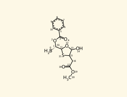 B[C@H](OC(=O)c1ccccc1)C1OC(O)C(CC(=O)OC)S1